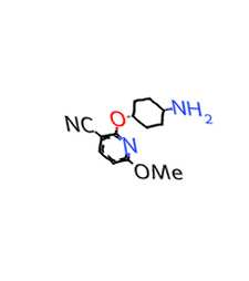 COc1ccc(C#N)c(O[C@H]2CC[C@H](N)CC2)n1